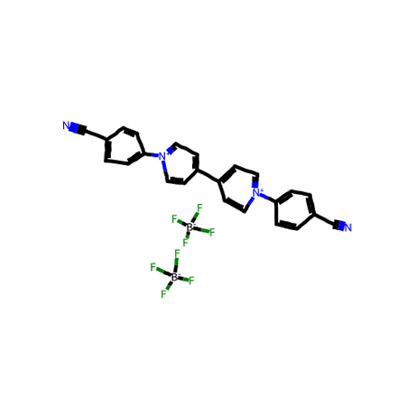 F[B-](F)(F)F.F[B-](F)(F)F.N#Cc1ccc(-[n+]2ccc(-c3cc[n+](-c4ccc(C#N)cc4)cc3)cc2)cc1